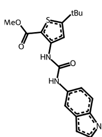 COC(=O)c1sc(C(C)(C)C)cc1NC(=O)Nc1ccc2[nH]ccc2c1